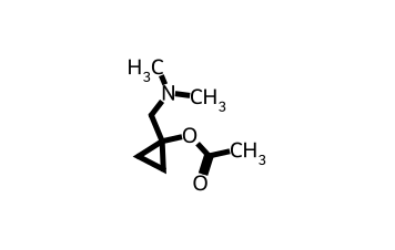 CC(=O)OC1(CN(C)C)CC1